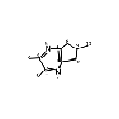 Cc1nc2c(nc1C)CC(C)C2